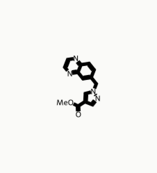 COC(=O)c1cnn(Cc2ccc3nccnc3c2)c1